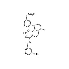 CCOc1ccc(CC(=O)O)cc1-c1ccc(F)c2c1CN(C(=O)OCc1cccc(C)n1)CC2